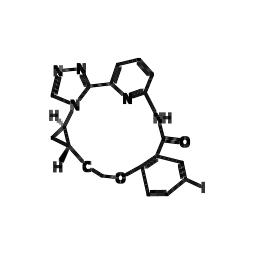 O=C1Nc2cccc(n2)-c2nncn2[C@@H]2C[C@H]2CCOc2ccc(I)cc21